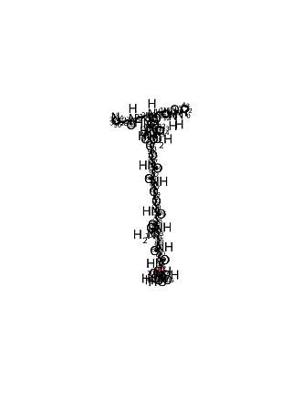 Cc1ccccc1NC(=O)Nc1ccc(CC(=O)N[C@@H](CCCCNC(=O)CCc2cccnc2)C(=O)N[C@@H](CCCC(=O)O)C(=O)NC2(C(=O)NCCOCCOCCNC(=O)CCC(=O)NCCOCCOCCNC(=O)CCC(=O)N[C@@H](CCCCNC(=O)CCC(=O)NCCCC(O)(P(=O)(O)O)P(=O)(O)O)C(N)=O)CCCCC2)cc1